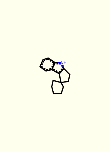 c1ccc2c3c([nH]c2c1)CCC31CCCCC1